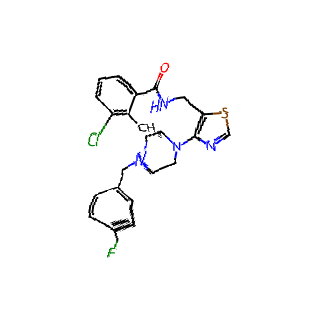 Cc1c(Cl)cccc1C(=O)NCc1scnc1N1CCN(Cc2ccc(F)cc2)CC1